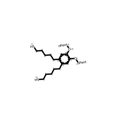 CCCCCOc1cc(CCCCCS)c(CCCCCS)cc1OCCCCC